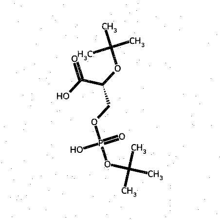 CC(C)(C)O[C@H](COP(=O)(O)OC(C)(C)C)C(=O)O